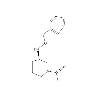 CC(=O)N1CCC[C@@H](NOCc2ccccc2)C1